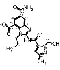 CCCn1c(NC(=O)c2cc(C)nn2CC)nc2cc(C(N)=O)cc(C(=O)O)c21